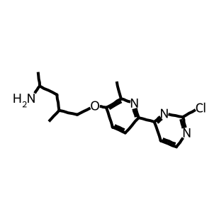 Cc1nc(-c2ccnc(Cl)n2)ccc1OCC(C)CC(C)N